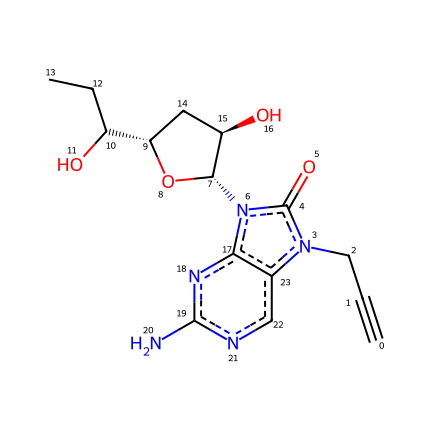 C#CCn1c(=O)n([C@@H]2O[C@H](C(O)CC)C[C@H]2O)c2nc(N)ncc21